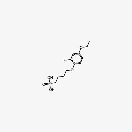 CCOc1ccc(OCCCCP(=O)(O)O)c(F)c1